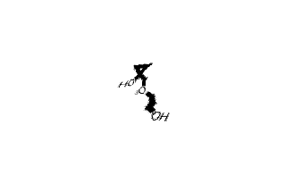 OCCOCC1(O)CC1